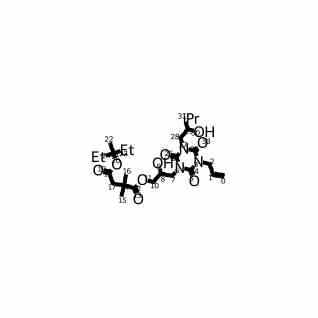 C=CCn1c(=O)n(CC(O)COC(=O)C(C)(C)CC(=O)OC(C)(CC)CC)c(=O)n(CC(O)C(C)C)c1=O